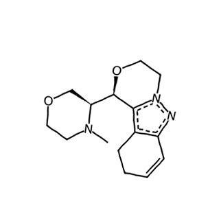 CN1CCOC[C@H]1[C@H]1OCCn2nc3c(c21)CCC=C3